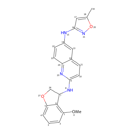 COc1cccc2c1C(Nc1ccc3cc(Nc4cc(C)on4)ccc3n1)CO2